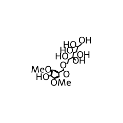 COc1cc(C(=O)OCC(O)C(O)C(O)C(O)C(O)CO)cc(OC)c1O